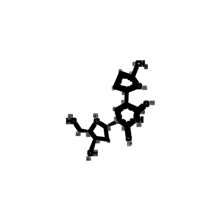 Cc1ccc(-c2cn([C@@H]3C[C@@H](O)[C@H](CO)O3)c(=O)[nH]c2=O)o1